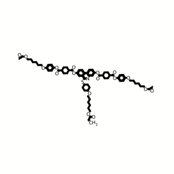 C=CC(=O)OCCCCCCOC1CCC(Sc2nc3cc(OC(=O)C4CCC(C(=O)Oc5ccc(OCCCCCCOC6CO6)cc5)CC4)ccc3c3ccc(OC(=O)C4CCC(C(=O)Oc5ccc(OCCCCCCOC6CO6)cc5)CC4)cc23)CC1